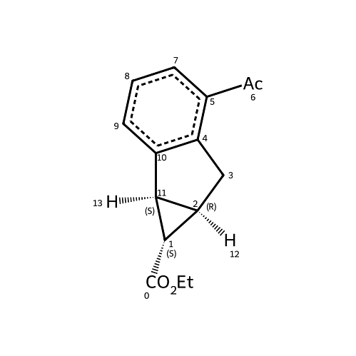 CCOC(=O)[C@H]1[C@@H]2Cc3c(C(C)=O)cccc3[C@@H]21